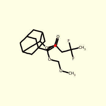 COCOC(=O)C12CC3CC(C1)C(OC(=O)CC(C)(F)F)C(C3)C2